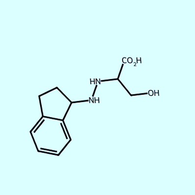 O=C(O)C(CO)NNC1CCc2ccccc21